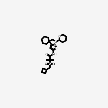 CC(C)(C(=O)Nc1cc(C2(COC3CCCCO3)CCCCC2)no1)S(=O)(=O)CC1CCC1